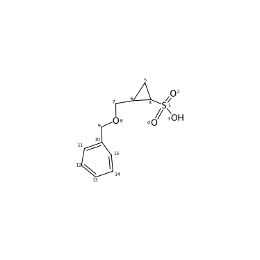 O=S(=O)(O)C1CC1COCc1ccccc1